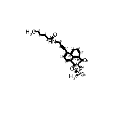 CCCCCC(=O)NCC#Cc1ccc2c3c(cccc13)C(=O)N(OS(C)(=O)=O)C2=O